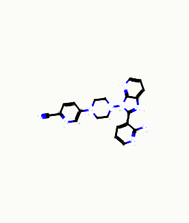 N#Cc1ccc(N2CCN(n3c(-c4cccnc4N)nc4cccnc43)CC2)cn1